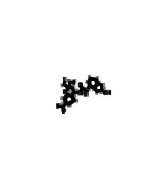 O=C(Nc1cccc2c1C[C@H](O)C2)N[C@@H]1CC(CF)(CF)Oc2cc(C(F)F)ccc21